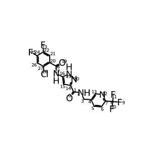 O=C(NCc1ccc(C(F)(F)F)nc1)c1cc(NC(=O)c2cc(F)c(F)cc2Cl)[nH]n1